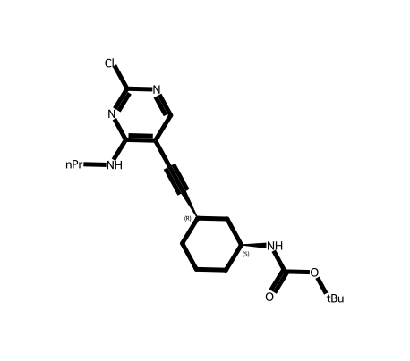 CCCNc1nc(Cl)ncc1C#C[C@@H]1CCC[C@H](NC(=O)OC(C)(C)C)C1